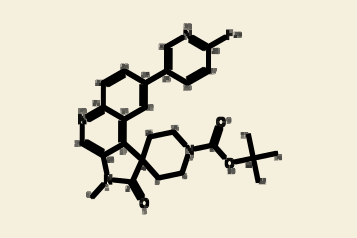 CN1C(=O)C2(CCN(C(=O)OC(C)(C)C)CC2)c2c1cnc1ccc(-c3ccc(F)nc3)cc21